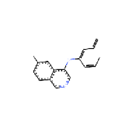 C=C/C=C(\C=C/C)Nc1cncc2ccc(C(F)(F)F)cc12